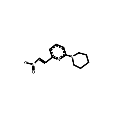 O=[N+]([O-])C=Cc1cccc(N2CCCCC2)n1